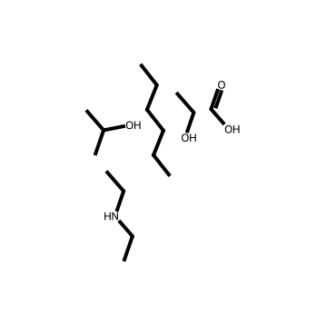 CC(C)O.CCCCCC.CCNCC.CCO.O=CO